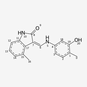 Cc1ccc(NC=C2C(=O)Nc3cccc(C)c32)cc1O